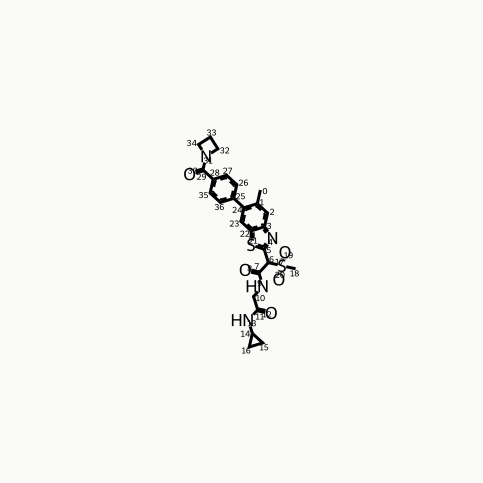 Cc1cc2nc(C(C(=O)NCC(=O)NC3CC3)S(C)(=O)=O)sc2cc1-c1ccc(C(=O)N2CCC2)cc1